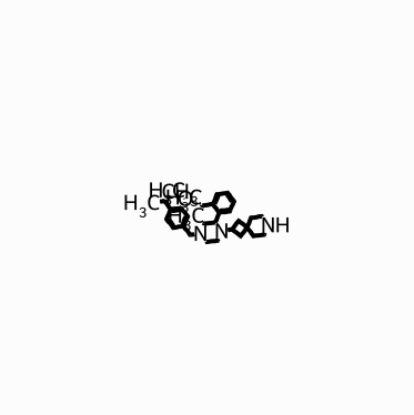 COc1cc(CN2CCN(C3CC4(CCNCC4)C3)C(c3ccccc3C(C)C)C2)ccc1C(C)C